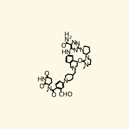 CN1CCN(C2CCCN(c3nnc(C(N)=O)c(Nc4ccc5c(c4)CCN(CC4CCN(c6ccc(C(=O)N(C)C7CCC(=O)NC7=O)c(C=O)c6)CC4)C5)n3)C2)C1=O